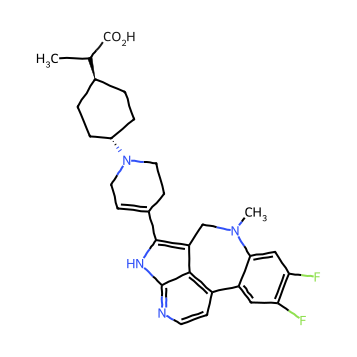 CC(C(=O)O)[C@H]1CC[C@H](N2CC=C(c3[nH]c4nccc5c4c3CN(C)c3cc(F)c(F)cc3-5)CC2)CC1